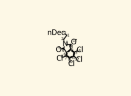 CCCCCCCCCCCCN1C(=O)c2c(Cl)c(Cl)c(Cl)c(Cl)c2C1=O